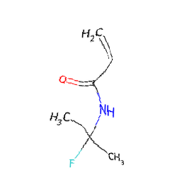 C=CC(=O)NC(C)(C)F